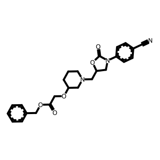 N#Cc1ccc(N2CC(CN3CCCC(OCC(=O)OCc4ccccc4)C3)OC2=O)cc1